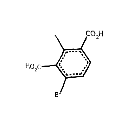 Cc1c(C(=O)O)ccc(Br)c1C(=O)O